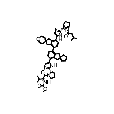 COC(=O)N[C@H](C(=O)N1CCC[C@H]1c1ncc(-c2ccc(-c3ccc(-c4cnc([C@@H]5C6CCC(C6)N5C(=O)CC(C)C)[nH]4)c4c3CC3(CCOCC3)C4)c3c2CC2(CCCC2)C3)[nH]1)C(C)C